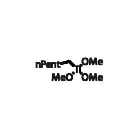 CCCCC[CH2][Ti]([O]C)([O]C)[O]C